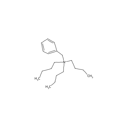 CCCC[N+](CCCC)(CCCC)Cc1ccccc1